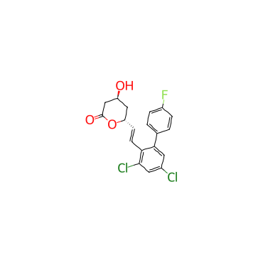 O=C1C[C@@H](O)C[C@H](C=Cc2c(Cl)cc(Cl)cc2-c2ccc(F)cc2)O1